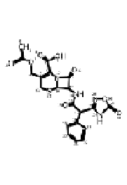 CC(=O)OCC1=C(C(=O)O)N2C(=O)C(NC(=O)C(c3ccccc3)c3noc(=O)[nH]3)C2SC1